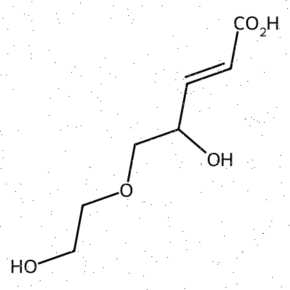 O=C(O)C=CC(O)COCCO